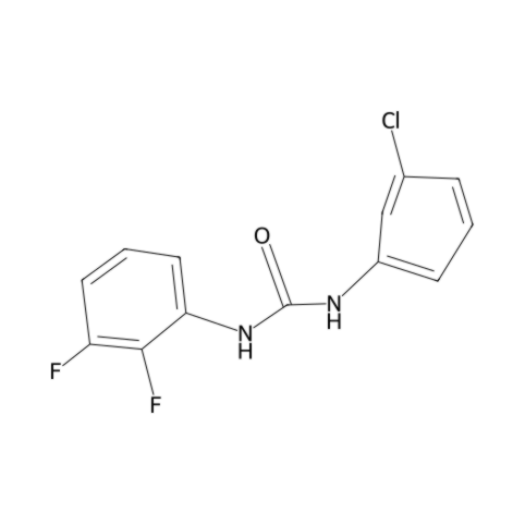 O=C(Nc1cccc(Cl)c1)Nc1cccc(F)c1F